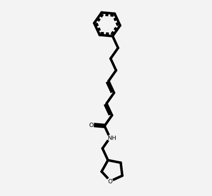 O=C(/C=C/C=CCCCc1ccccc1)NCC1CCOC1